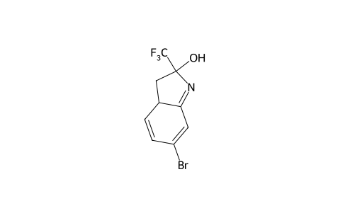 OC1(C(F)(F)F)CC2C=CC(Br)=CC2=N1